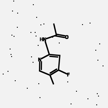 CC(=O)Nc1cc(F)c(C)cn1